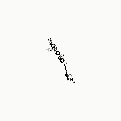 C=CC(=O)OCCCCCCOc1ccc(OC(=O)[C@H]2CC[C@H](C(=O)Oc3ccc(OC=O)cc3C=N)CC2)cc1